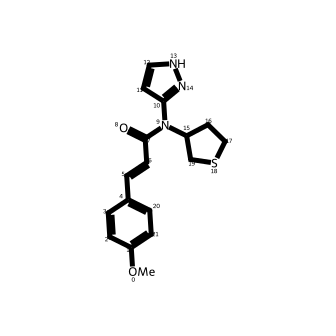 COc1ccc(C=CC(=O)N(c2cc[nH]n2)C2CCSC2)cc1